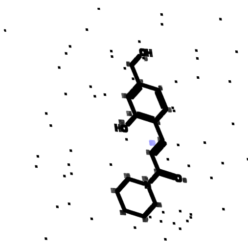 O=C(/C=C/c1ccc(CO)cc1O)N1CCCCC1